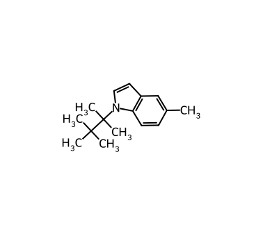 Cc1ccc2c(ccn2C(C)(C)C(C)(C)C)c1